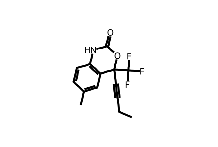 CCC#CC1(C(F)(F)F)OC(=O)Nc2ccc(C)cc21